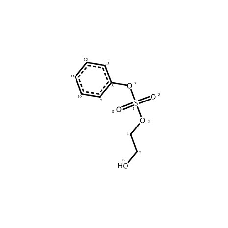 O=S(=O)(OCCO)Oc1ccccc1